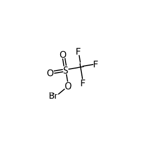 O=S(=O)(OBr)C(F)(F)F